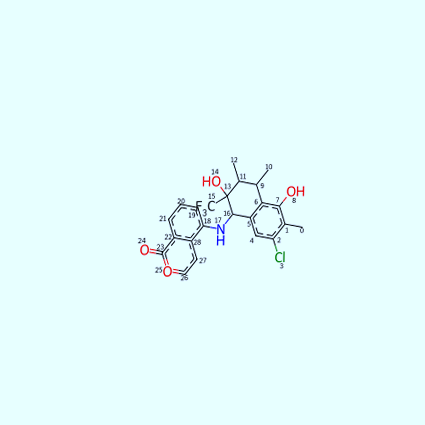 Cc1c(Cl)cc2c(c1O)C(C)C(C)C(O)(C(F)(F)F)C2Nc1cccc2c(=O)occc12